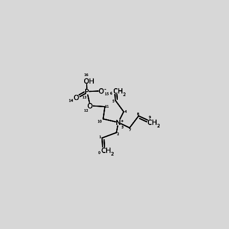 C=CC[N+](CC=C)(CC=C)CCOP(=O)([O-])O